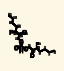 CCCCC(F)C(=O)CO[PH](=O)OCC(=O)C(F)CCCC